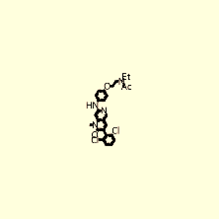 CCN(CCOc1ccc(Nc2cc3c(cn2)cc(-c2c(Cl)cccc2Cl)c(=O)n3C)cc1)C(C)=O